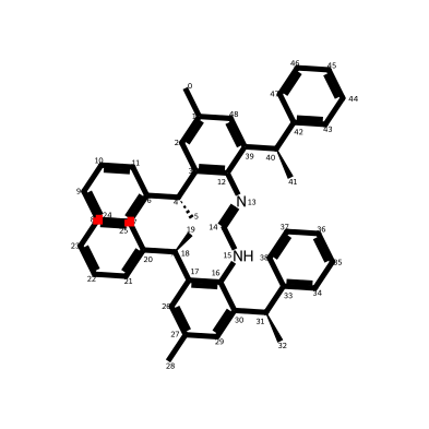 Cc1cc([C@H](C)c2ccccc2)c(/N=C/Nc2c([C@H](C)c3ccccc3)cc(C)cc2[C@H](C)c2ccccc2)c([C@H](C)c2ccccc2)c1